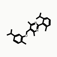 Cc1ccc(C(C)C)cc1OCc1c(C)nc(-c2c(C)cccc2C(C)C)nc1C